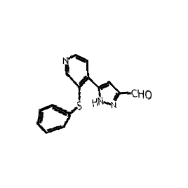 O=Cc1cc(-c2ccncc2Sc2ccccc2)[nH]n1